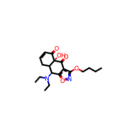 CCCCOc1noc2c1C(=O)[C@@]1(O)C(=O)C=CCC1[C@@H]2N(CC)CC